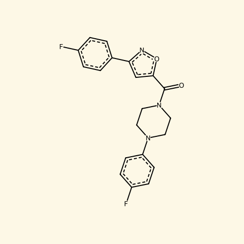 O=C(c1cc(-c2ccc(F)cc2)no1)N1CCN(c2ccc(F)cc2)CC1